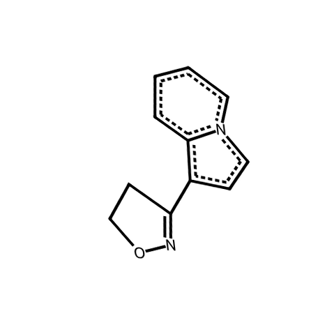 c1ccn2ccc(C3=NOCC3)c2c1